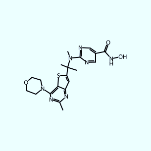 Cc1nc(N2CCOCC2)c2sc(C(C)(C)N(C)c3ncc(C(=O)NO)cn3)cc2n1